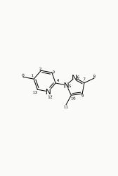 Cc1ccc(-n2nc(C)cc2C)nc1